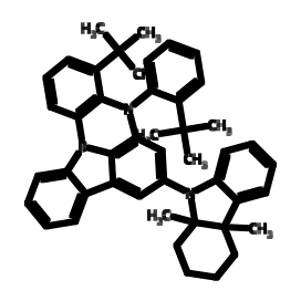 CC(C)(C)c1ccccc1N1c2cc(N3c4ccccc4C4(C)CCCCC34C)cc3c2B(c2ccccc2-3)c2cccc(C(C)(C)C)c21